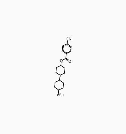 CCCCC1CCC(N2CCC(OC(=O)c3ccc(C#N)cc3)CC2)CC1